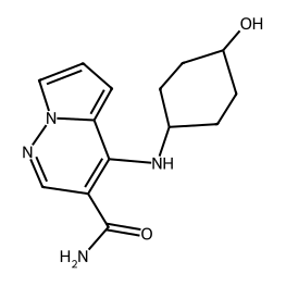 NC(=O)c1cnn2cccc2c1NC1CCC(O)CC1